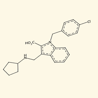 O=C(O)c1c(CNC2CCCC2)c2ccccc2n1Cc1ccc(Cl)cc1